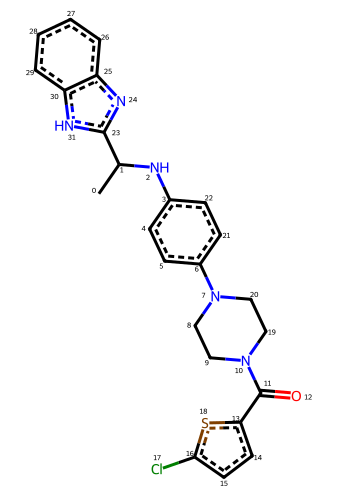 CC(Nc1ccc(N2CCN(C(=O)c3ccc(Cl)s3)CC2)cc1)c1nc2ccccc2[nH]1